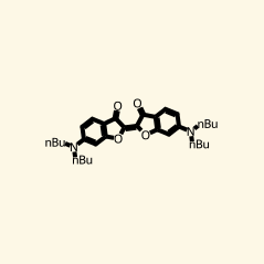 CCCCN(CCCC)c1ccc2c(c1)OC(=C1Oc3cc(N(CCCC)CCCC)ccc3C1=O)C2=O